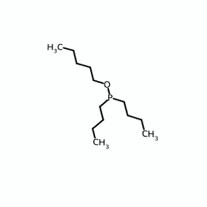 CCCCCOP(CCCC)CCCC